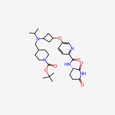 CC(C)N(CC1CCN(C(=O)OC(C)(C)C)CC1)C1CC(Oc2ccc(C(=O)N[C@H]3CCC(=O)NC3=O)nc2)C1